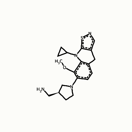 COc1c(N2CC[C@@H](CN)C2)ccc2c1N(C1CC1)c1sncc1C2